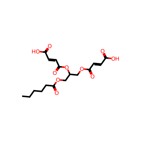 CCCCCC(=O)OCC(COC(=O)/C=C/C(=O)O)OC(=O)/C=C/C(=O)O